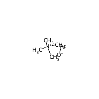 CC(=O)[O-].C[N+](C)(C)C